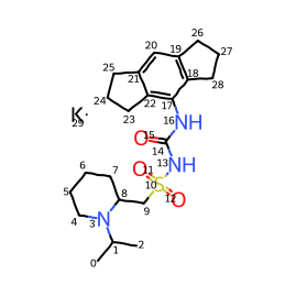 CC(C)N1CCCCC1CS(=O)(=O)NC(=O)Nc1c2c(cc3c1CCC3)CCC2.[K]